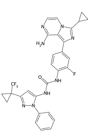 Nc1nccn2c(C3CC3)nc(-c3ccc(NC(=O)Nc4cc(C5(C(F)(F)F)CC5)nn4-c4ccccc4)c(F)c3)c12